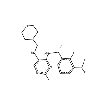 Cc1ncc(NCC2CCOCC2)c(N[C@H](C)c2cccc(C(F)F)c2F)n1